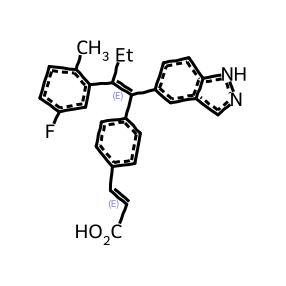 CC/C(=C(/c1ccc(/C=C/C(=O)O)cc1)c1ccc2[nH]ncc2c1)c1cc(F)ccc1C